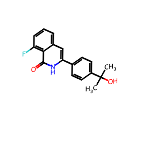 CC(C)(O)c1ccc(-c2cc3cccc(F)c3c(=O)[nH]2)cc1